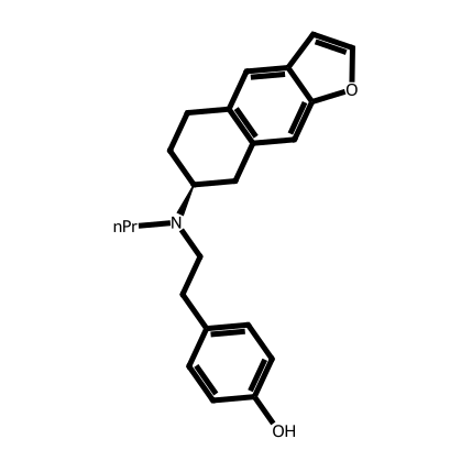 CCCN(CCc1ccc(O)cc1)[C@H]1CCc2cc3ccoc3cc2C1